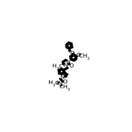 COc1ccc(N2CCC(C)N(Cc3cccc4c3ccn4CC(=O)N(C)C)C2=O)cc1OCc1ccccc1